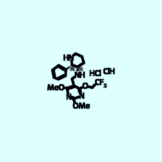 COc1nc(OC)c(CN[C@H]2CCCN[C@H]2c2ccccc2)c(OCC(F)(F)F)n1.Cl.Cl